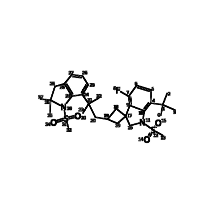 CC(C)(C)c1ccc(F)c2c1N(S(C)(=O)=O)CC21CC(CC(C)(C)c2cccc3c2N(S(C)(=O)=O)C(C)(C)C3)C1